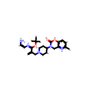 C=C(CN1CCC(N2Cc3nc(C)ccc3OC2=O)CC1)/C(=N\C=C/N)OC(C)(C)C